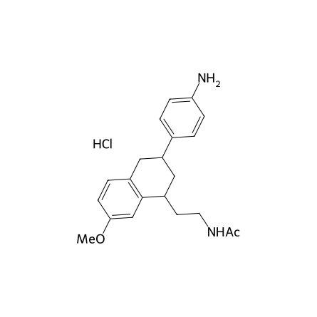 COc1ccc2c(c1)C(CCNC(C)=O)CC(c1ccc(N)cc1)C2.Cl